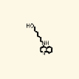 OCCCCCCNc1ccnc2ccccc12